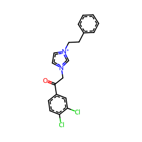 O=C(Cn1cc[n+](CCc2ccccc2)c1)c1ccc(Cl)c(Cl)c1